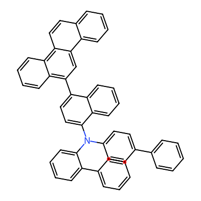 c1ccc(-c2ccc(N(c3ccccc3-c3ccccc3)c3ccc(-c4cc5c6ccccc6ccc5c5ccccc45)c4ccccc34)cc2)cc1